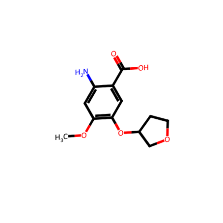 COc1cc(N)c(C(=O)O)cc1OC1CCOC1